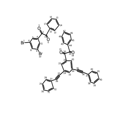 O=C(C(=O)c1cc(Br)cc(Br)c1)c1ccccc1.O=C(C(=O)c1cc(C#Cc2ccccc2)cc(C#Cc2ccccc2)c1)c1ccccc1